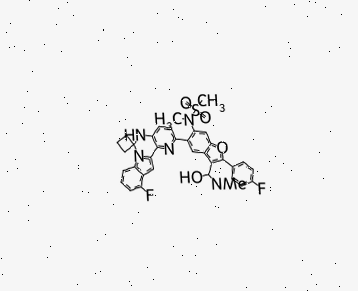 CNC(O)c1c(-c2ccc(F)cc2)oc2cc(N(C)S(C)(=O)=O)c(-c3ccc4c(n3)-c3cc5c(F)cccc5n3C3(CCC3)N4)cc12